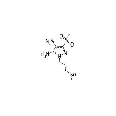 CNCCCn1nc(S(C)(=O)=O)c(N)c1N